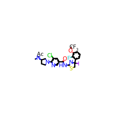 CC(=O)N(C)C1CCN(c2ncc(C(=O)NC3=NC(I)(c4cccc(OC(F)(F)F)c4F)CS3)cc2Cl)C1